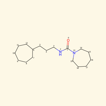 O=C(NCCCC1CCCCCC1)N1CCCCCC1